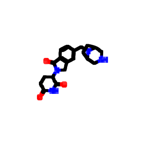 O=C1CCC(N2Cc3cc(CN4C5CCC4CNC5)ccc3C2=O)C(=O)N1